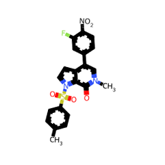 Cc1ccc(S(=O)(=O)n2ccc3c(-c4ccc([N+](=O)[O-])c(F)c4)cn(C)c(=O)c32)cc1